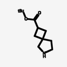 CC(C)(C)OC(=O)C1CC2(CCNC2)C1